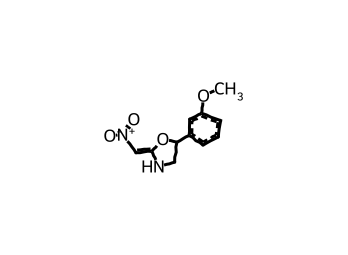 COc1cccc(C2CNC(=C[N+](=O)[O-])O2)c1